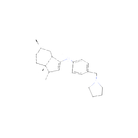 CC1C=C(Nc2ccc(CN3CCCC3)cc2)[C@@H]2C[C@H](C)CC[C@@H]12